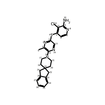 Cc1nc(Sc2ccnc(N)c2Cl)cnc1N1CCC2(CC1)Cc1ccccc1C2